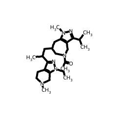 CCn1nc(C(C)CC2Cc3c(c(C(C)C)nn3C)CN(C(C)=O)C2)c2c1CN(C)CC2